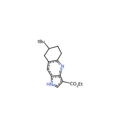 CCOC(=O)c1c[nH]c2cc3c(nc12)CCC(C(C)(C)C)C3